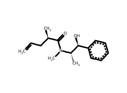 C=CC[C@@H](C)C(=O)N(C)[C@@H](C)[C@@H](O)c1ccccc1